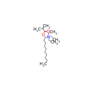 C=C(C)C(=O)OC(CCCCCCCCC)[N+](CC)(CC)CC